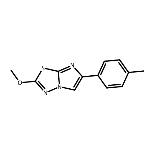 COc1nn2cc(-c3ccc(C)cc3)nc2s1